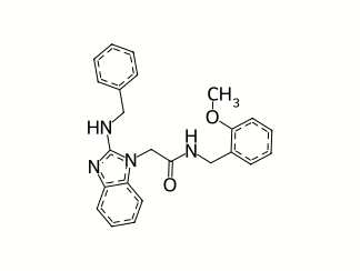 COc1ccccc1CNC(=O)Cn1c(NCc2ccccc2)nc2ccccc21